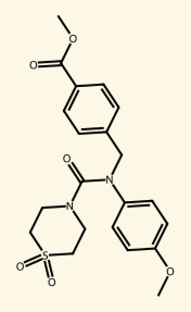 COC(=O)c1ccc(CN(C(=O)N2CCS(=O)(=O)CC2)c2ccc(OC)cc2)cc1